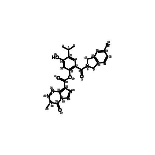 CC(C)c1cc(C(=O)N2Cc3ccc(Br)cc3C2)c(OC(=O)c2ncn3c(=O)n(C)nnc23)cc1O